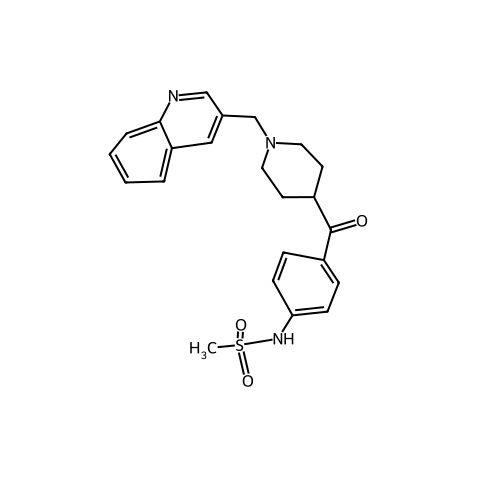 CS(=O)(=O)Nc1ccc(C(=O)C2CCN(Cc3cnc4ccccc4c3)CC2)cc1